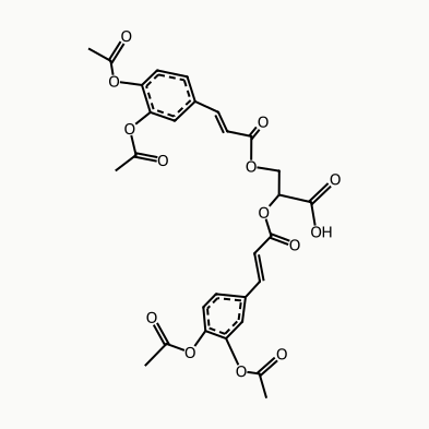 CC(=O)Oc1ccc(C=CC(=O)OCC(OC(=O)C=Cc2ccc(OC(C)=O)c(OC(C)=O)c2)C(=O)O)cc1OC(C)=O